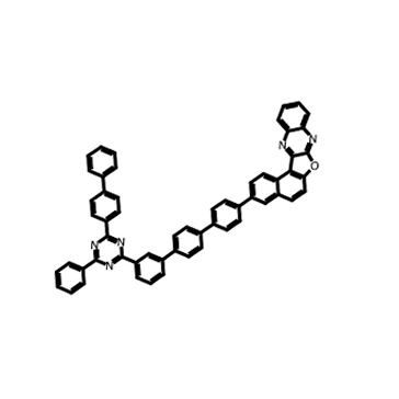 c1ccc(-c2ccc(-c3nc(-c4ccccc4)nc(-c4cccc(-c5ccc(-c6ccc(-c7ccc8c(ccc9oc%10nc%11ccccc%11nc%10c98)c7)cc6)cc5)c4)n3)cc2)cc1